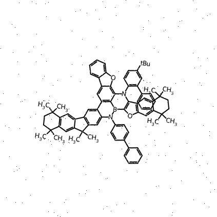 CC(C)(C)c1ccc(N2c3c(oc4cc5c(cc34)C(C)(C)CCC5(C)C)B3c4c(cc5c(oc6ccccc65)c42)-c2cc4c(cc2N3c2ccc(-c3ccccc3)cc2)C(C)(C)c2cc3c(cc2-4)C(C)(C)CCC3(C)C)c(-c2ccccc2)c1